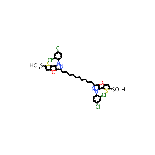 O=S(=O)(O)c1cc2oc3c(/C=C/CCCCCC/C=C/c4nn(-c5ccc(Cl)cc5Cl)c5c4oc4cc(S(=O)(=O)O)sc45)nn(-c4ccc(Cl)cc4Cl)c3c2s1